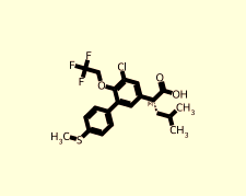 CSc1ccc(-c2cc([C@@H](CC(C)C)C(=O)O)cc(Cl)c2OCC(F)(F)F)cc1